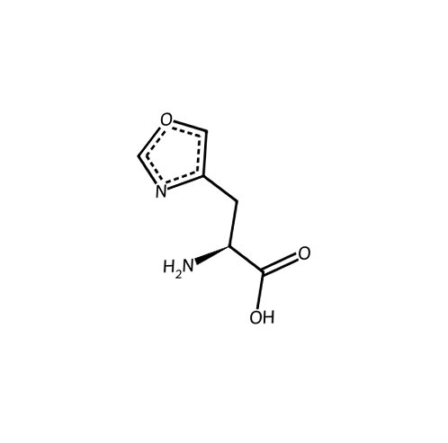 N[C@@H](Cc1cocn1)C(=O)O